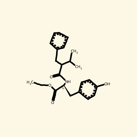 CCOC(=O)[C@H](Cc1ccc(O)cc1)NC(=O)C(Cc1ccccc1)C(C)C